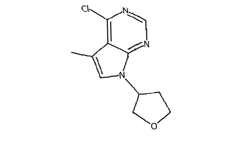 Cc1cn(C2CCOC2)c2ncnc(Cl)c12